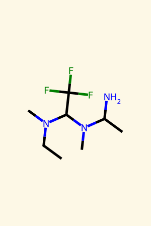 CCN(C)C(N(C)C(C)N)C(F)(F)F